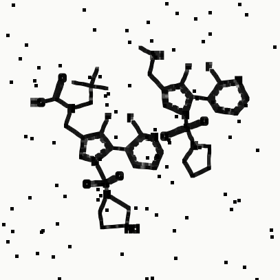 CC(C)(C)CN(Cc1cn(S(=O)(=O)N2CCCC2)c(-c2cccnc2F)c1F)C(=O)O.CNCc1cn(S(=O)(=O)N2CCCC2)c(-c2cccnc2F)c1F.Cl